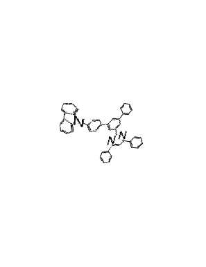 c1ccc(-c2cc(-c3ccc(-n4c5ccccc5c5ccccc54)cc3)cc(-c3nc(-c4ccccc4)cc(-c4ccccc4)n3)c2)cc1